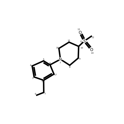 CCc1cccc(N2CCC(S(C)(=O)=O)CC2)c1